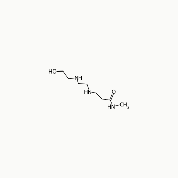 CNC(=O)CCNCCNCCO